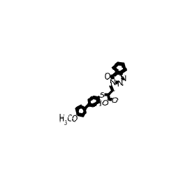 COc1ccc(-c2ccc(SC(CCn3nnc4ccccc4c3=O)C(=O)O)cc2)cc1